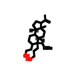 C=C(C)C1CC[C@H]2C3CCC(CCO)C(CCCO)(COC)[C@H]3CCC12C